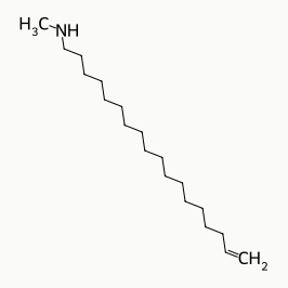 C=CCCCCCCCCCCCCCCCCNC